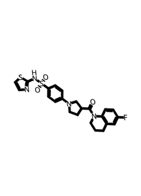 O=C(C1CCN(c2ccc(S(=O)(=O)Nc3nccs3)cc2)C1)N1CCCc2cc(F)ccc21